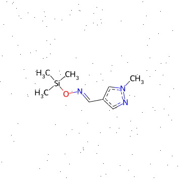 Cn1cc(C=NO[Si](C)(C)C)cn1